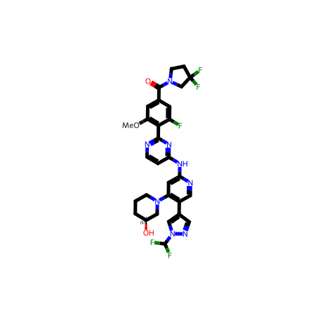 COc1cc(C(=O)N2CCC(F)(F)C2)cc(F)c1-c1nccc(Nc2cc(N3CCC[C@H](O)C3)c(-c3cnn(C(F)F)c3)cn2)n1